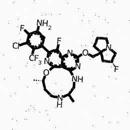 CC1CNc2nc(OCC34CCCN3C[C@H](F)C4)nc3c(F)c(-c4cc(N)c(F)c(Cl)c4C(F)(F)F)nc(c23)O[C@@H](C)CCN1